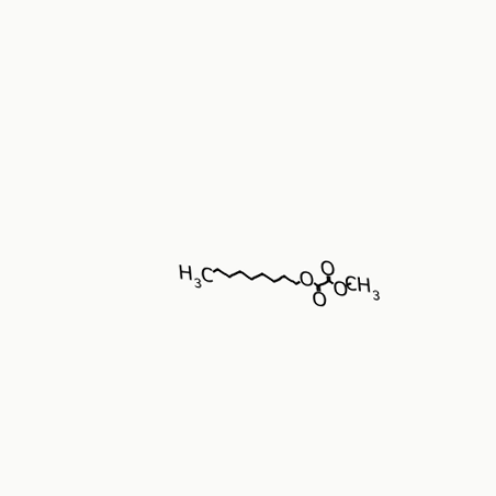 CCCCCCCCCOC(=O)C(=O)OC